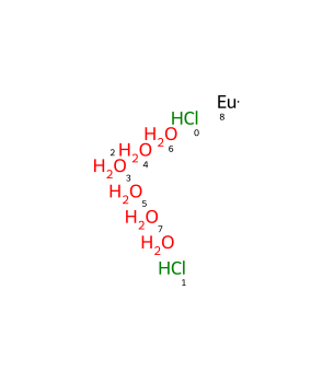 Cl.Cl.O.O.O.O.O.O.[Eu]